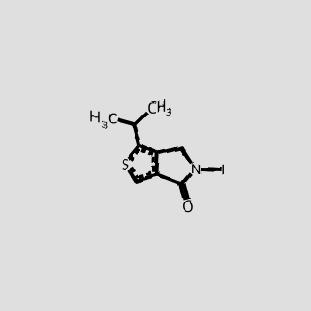 CC(C)c1scc2c1CN(I)C2=O